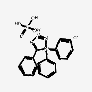 O=P(O)(O)O.[Cl-].c1ccc(C2=NN=N[N+]2(c2ccccc2)c2ccccc2)cc1